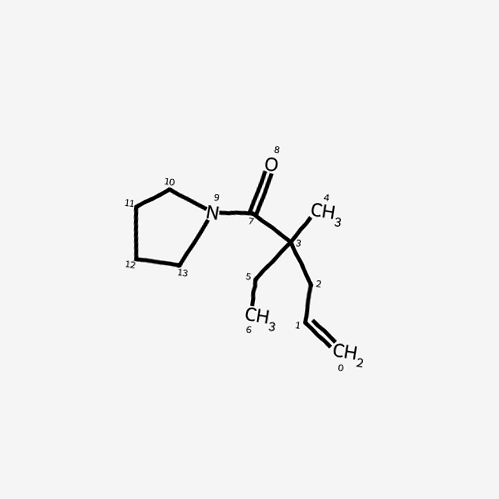 C=CCC(C)(CC)C(=O)N1CCCC1